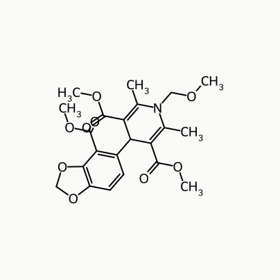 COCN1C(C)=C(C(=O)OC)C(c2ccc3c(c2C(=O)OC)OCO3)C(C(=O)OC)=C1C